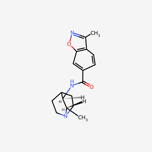 Cc1noc2cc(C(=O)N[C@@H]3C4CCN(CC4)[C@H]3C)ccc12